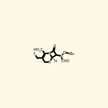 CC(C)(C)ON(C=O)C1C(=O)N2C(C(=O)O)=C(CF)CS[C@H]12